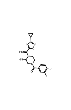 Cc1cc(C(=O)N2CCN(C(=N)c3nc(C4CC4)no3)C(=N)C2)ccc1F